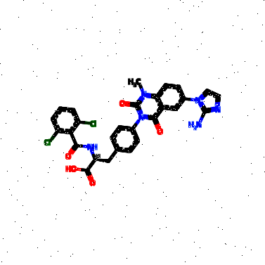 Cn1c(=O)n(-c2ccc(C[C@H](NC(=O)c3c(Cl)cccc3Cl)C(=O)O)cc2)c(=O)c2cc(-n3ccnc3N)ccc21